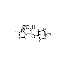 CN1CCC(OC[C@@H]2CCCN2C(=O)O)CC1